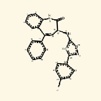 O=C1Nc2ccccc2C(c2ccccc2)=C[C@@H]1Nc1nnc(-c2ccc(F)cc2)o1